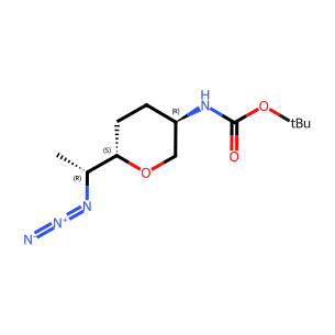 C[C@@H](N=[N+]=[N-])[C@@H]1CC[C@@H](NC(=O)OC(C)(C)C)CO1